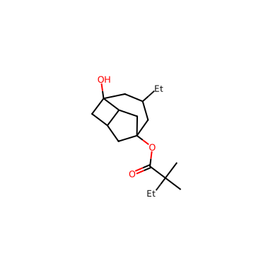 CCC1CC2(OC(=O)C(C)(C)CC)CC3CC(O)(C1)C3C2